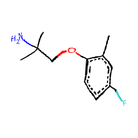 Cc1cc(F)ccc1OCC(C)(C)N